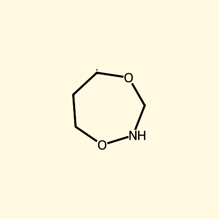 [CH]1CCONCO1